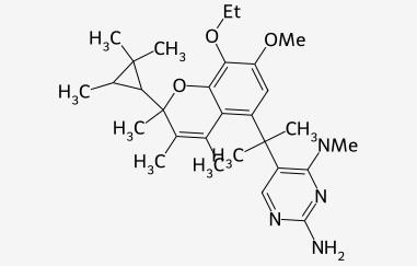 CCOc1c(OC)cc(C(C)(C)c2cnc(N)nc2NC)c2c1OC(C)(C1C(C)C1(C)C)C(C)=C2C